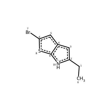 CCc1cc2cc(Br)sc2[nH]1